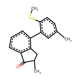 CSc1ccc(C)cc1-c1cccc2c1CC(C)C2=O